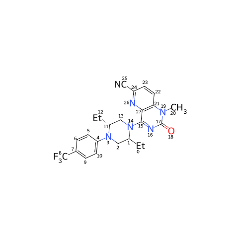 CCC1CN(c2ccc(C(F)(F)F)cc2)[C@H](CC)CN1c1nc(=O)n(C)c2ccc(C#N)nc12